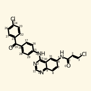 O=C(/C=C/Cl)Nc1ccc2ncnc(Nc3ccc(C(=O)c4ccc(Cl)cc4)cc3)c2c1